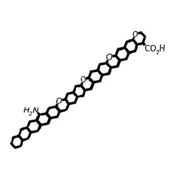 NC1C2CC3CC4CCCCC4CC3CC2CC2CC3CC4CC5CC6CC7CC8CC9CC%10CC%11CC%12C(CC%11CC%10OC9CC8CC7OC6CC5CC4OC3CC21)OCCC%12C(=O)O